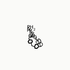 CCc1ccc(Cc2ccc3c(c2)C2(CCCC(COP(#P)P=PP=PP)O2)OC3)cc1